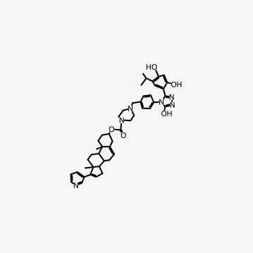 CC(C)c1cc(-c2nnc(O)n2-c2ccc(CN3CCN(C(=O)OC4CCC5(C)C(=CCC6C5CCC5(C)C(c7cccnc7)=CCC65)C4)CC3)cc2)c(O)cc1O